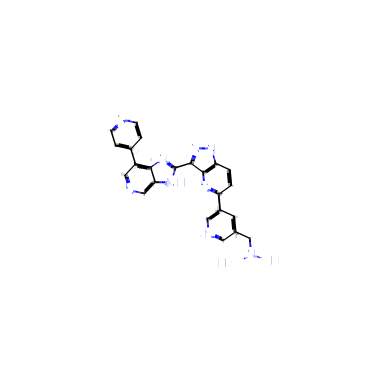 CN(C)Cc1cncc(-c2ccc3[nH]nc(-c4nc5c(-c6ccncc6)cncc5[nH]4)c3n2)c1